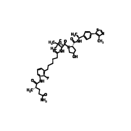 Cc1ncsc1-c1ccc([C@H](C)NC(=O)[C@@H]2C[C@@H](O)CN2C(=O)[C@@H](NC(=O)CCCCCc2cccc(NC(=O)[C@@H](C)CCC(N)=O)c2F)C(C)(C)C)cc1